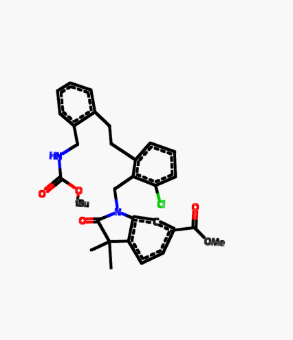 COC(=O)c1ccc2c(c1)N(Cc1c(Cl)cccc1CCc1ccccc1CNC(=O)OC(C)(C)C)C(=O)C2(C)C